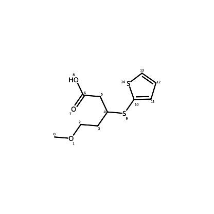 COCCC(CC(=O)O)Sc1cccs1